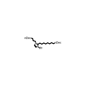 CCCCCCCCCCCCCCCCCCC1N(CCCCCCCCCCCCC)C=CN1C(C)C